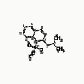 CC(C)Cc1ccc2ccccc2c1S(=O)(=O)[O-].[K+]